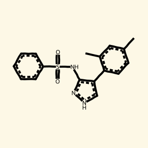 Cc1ccc(-c2c[nH]nc2NS(=O)(=O)c2ccccc2)c(C)c1